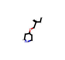 C=C(CC)COC1CCNCC1